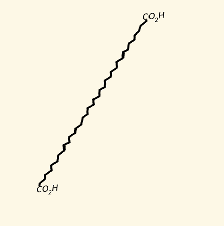 O=C(O)CCCCCCCC=CCCCCCCCCCCCCCCCCCCC=CCCCCCCCC(=O)O